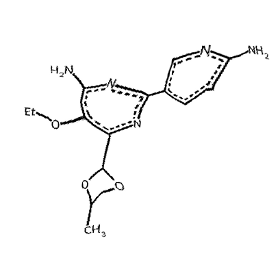 CCOc1c(N)nc(-c2ccc(N)nc2)nc1C1OC(C)O1